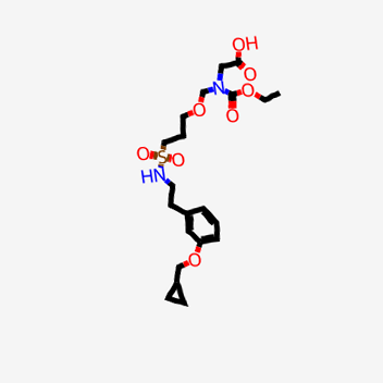 CCOC(=O)N(COCCCS(=O)(=O)NCCc1cccc(OCC2CC2)c1)CC(=O)O